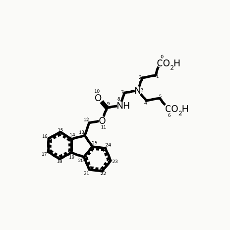 O=C(O)CCN(CCC(=O)O)CNC(=O)OCC1c2ccccc2-c2ccccc21